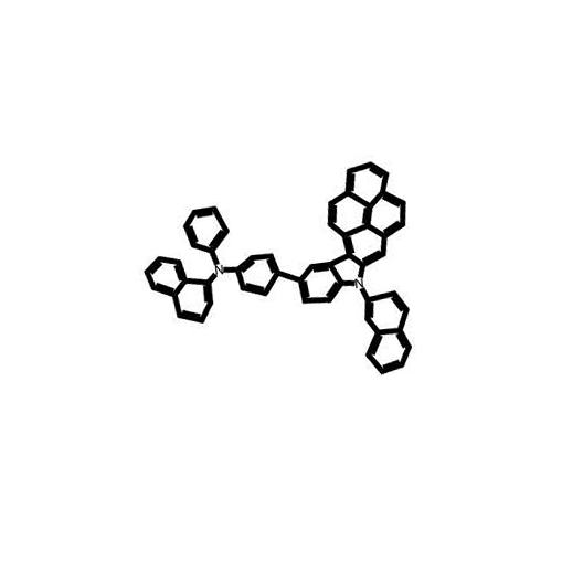 c1ccc(N(c2ccc(-c3ccc4c(c3)c3c5ccc6cccc7ccc(cc3n4-c3ccc4ccccc4c3)c5c76)cc2)c2cccc3ccccc23)cc1